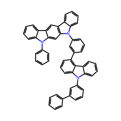 c1ccc(-c2cccc(-n3c4ccccc4c4c(-c5cccc(-n6c7ccccc7c7cc8c9ccccc9n(-c9ccccc9)c8cc76)c5)cccc43)c2)cc1